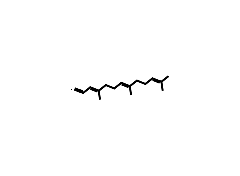 [CH]=C/C=C(\C)CC/C=C(\C)CCC=C(C)C